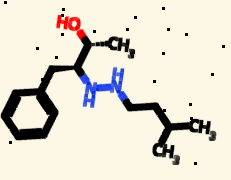 CC(C)CCNN[C@@H](Cc1ccccc1)[C@@H](C)O